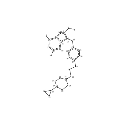 CCc1nc2c(C)cc(C)nc2n1Cc1ccc(CCCN2CCN(C3CC3)CC2)cc1